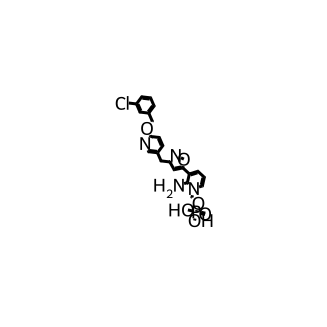 NC1C(c2cc(Cc3ccc(OCc4cccc(Cl)c4)nc3)no2)=CC=CN1COP(=O)(O)O